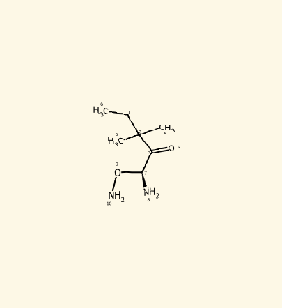 CCC(C)(C)C(=O)[C@@H](N)ON